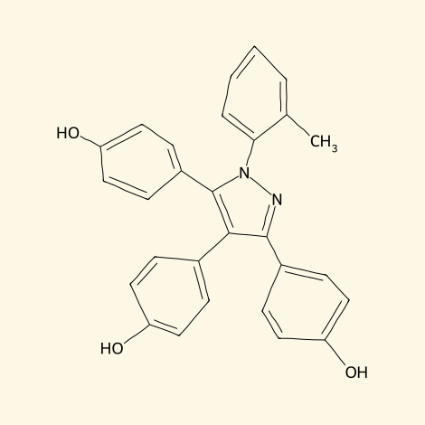 Cc1ccccc1-n1nc(-c2ccc(O)cc2)c(-c2ccc(O)cc2)c1-c1ccc(O)cc1